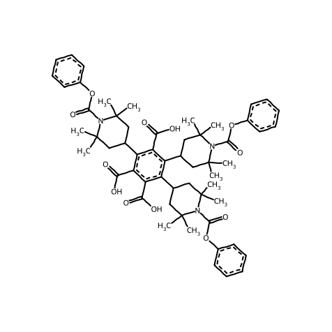 CC1(C)CC(c2c(C(=O)O)c(C(=O)O)c(C3CC(C)(C)N(C(=O)Oc4ccccc4)C(C)(C)C3)c(C3CC(C)(C)N(C(=O)Oc4ccccc4)C(C)(C)C3)c2C(=O)O)CC(C)(C)N1C(=O)Oc1ccccc1